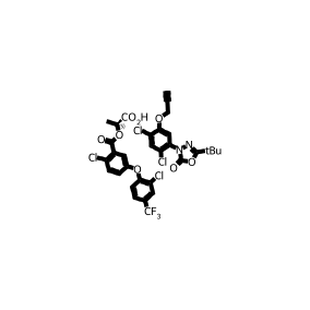 C#CCOc1cc(-n2nc(C(C)(C)C)oc2=O)c(Cl)cc1Cl.C[C@H](OC(=O)c1cc(Oc2ccc(C(F)(F)F)cc2Cl)ccc1Cl)C(=O)O